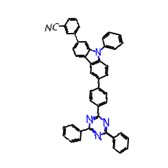 N#Cc1cccc(-c2ccc3c4cc(-c5ccc(-c6nc(-c7ccccc7)nc(-c7ccccc7)n6)cc5)ccc4n(-c4ccccc4)c3c2)c1